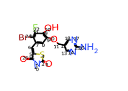 CN1C(=O)S/C(=C\c2cc(OCc3cnc(N)nc3)c(O)c(F)c2Br)C1=O